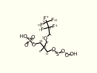 CC(COCC(F)(F)C(F)(F)F)(COSOOO)COS(=O)(=O)O